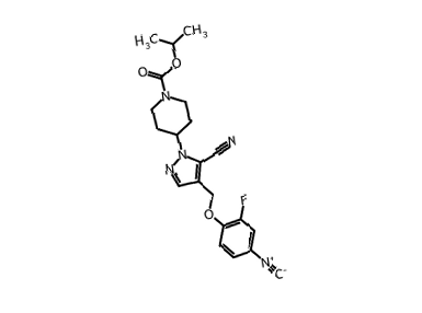 [C-]#[N+]c1ccc(OCc2cnn(C3CCN(C(=O)OC(C)C)CC3)c2C#N)c(F)c1